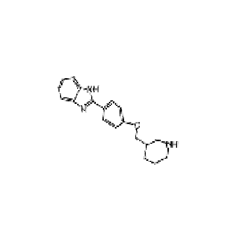 c1ccc2[nH]c(-c3ccc(OCC4CCCNC4)cc3)nc2c1